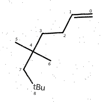 C=CCCC(C)(C)CC(C)(C)C